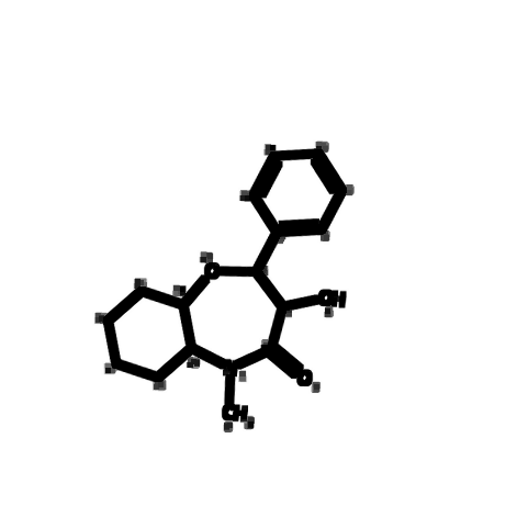 CN1C(=O)C(O)C(c2ccccc2)OC2CCCCC21